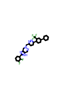 Fc1cccc(-c2nc3c([nH]2)C=NN(Cc2ccc(-c4ccc(-c5ccccc5)cc4C(F)(F)F)nn2)C3)c1F